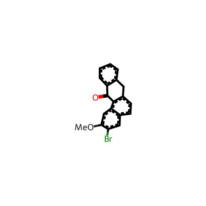 COc1cc2c3c(ccc2cc1Br)Cc1ccccc1C3=O